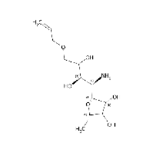 C=CCOCC(O)[C@H](O)[C@@H](N)[C@H]1O[C@@H](C)C(O)[C@H]1O